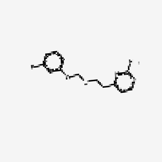 Nc1nccc(CCOCOc2cccc(F)c2)n1